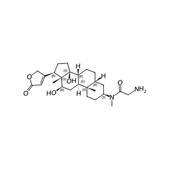 CN(C(=O)CN)[C@H]1CC[C@@]2(C)[C@H](CC[C@@H]3[C@@H]2C[C@@H](O)[C@]2(C)[C@@H](C4=CC(=O)OC4)CC[C@]32O)C1